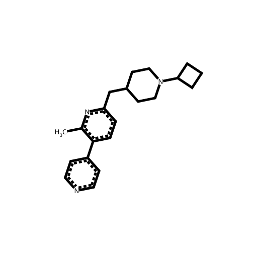 Cc1nc(CC2CCN(C3CCC3)CC2)ccc1-c1ccncc1